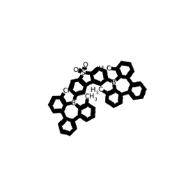 Cc1cccc2c1B(c1ccc3c(c1)-c1cc(B4c5c(C)cccc5-c5ccccc5-c5cccc(C)c54)ccc1S3(=O)=O)c1c(C)cccc1-c1ccccc1-2